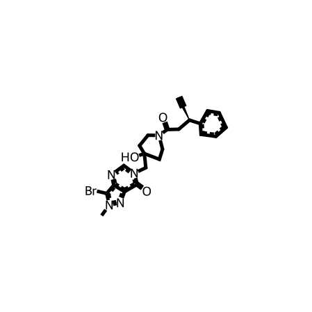 C#C[C@H](CC(=O)N1CCC(O)(Cn2cnc3c(Br)n(C)nc3c2=O)CC1)c1ccccc1